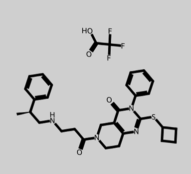 C[C@H](CNCCC(=O)N1CCc2nc(SC3CCC3)n(-c3ccccc3)c(=O)c2C1)c1ccccc1.O=C(O)C(F)(F)F